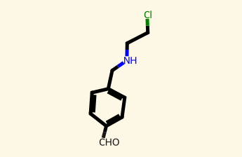 O=Cc1ccc(CNCCCl)cc1